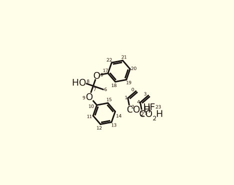 C=CC(=O)O.C=CC(=O)O.CC(O)(Oc1ccccc1)Oc1ccccc1.F